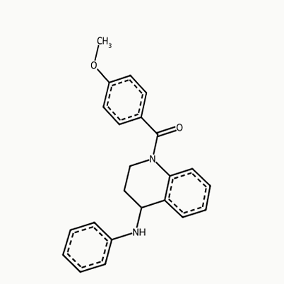 COc1ccc(C(=O)N2CCC(Nc3ccccc3)c3ccccc32)cc1